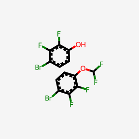 Fc1c(Br)ccc(OC(F)F)c1F.Oc1ccc(Br)c(F)c1F